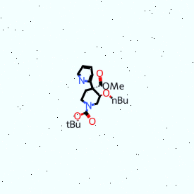 CCCCO[C@@H]1CN(C(=O)OC(C)(C)C)CC[C@@]1(C(=O)OC)c1ccccn1